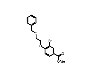 COC(=O)c1ccc(OCCOCc2ccccc2)c(Br)c1